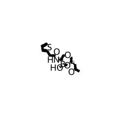 CC(=O)C[C@@H]1COC[C@H](NC(=O)Cc2cccs2)B(O)O1